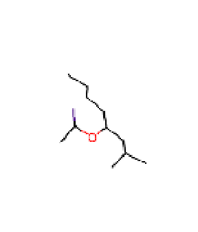 CCCCC(CC(C)C)OC(C)I